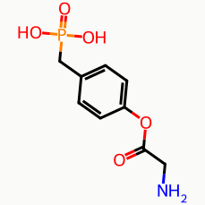 NCC(=O)Oc1ccc(CP(=O)(O)O)cc1